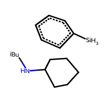 CCC(C)NC1CCCCC1.[SiH3]c1ccccc1